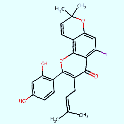 CC(C)=CCc1c(-c2ccc(O)cc2O)oc2c3c(cc(I)c2c1=O)OC(C)(C)C=C3